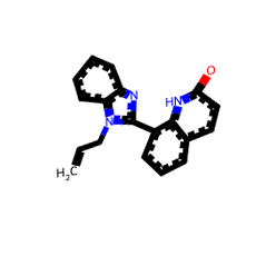 C=CCn1c(-c2cccc3ccc(=O)[nH]c23)nc2ccccc21